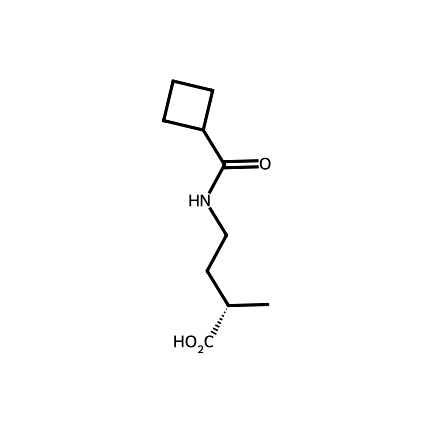 C[C@@H](CCNC(=O)C1CCC1)C(=O)O